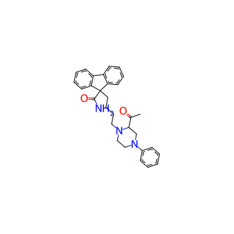 CC(=O)C1CN(c2ccccc2)CCN1CCCCC1(C(N)=O)c2ccccc2-c2ccccc21